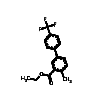 CCOC(=O)c1cc(-c2ccc(C(F)(F)F)cc2)ccc1C